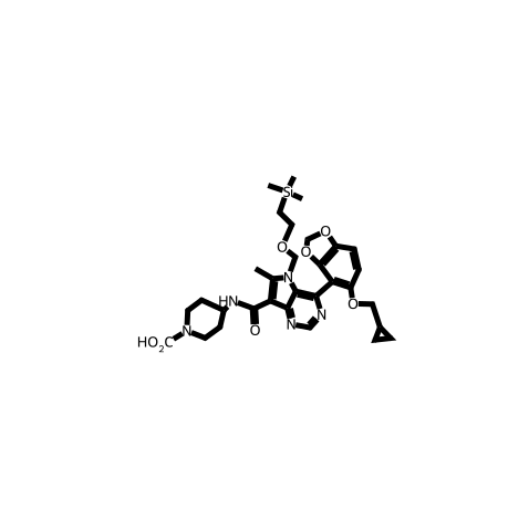 Cc1c(C(=O)NC2CCN(C(=O)O)CC2)c2ncnc(-c3c(OCC4CC4)ccc4c3OCO4)c2n1COCC[Si](C)(C)C